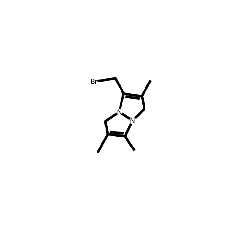 CC1=C(C)N2CC(C)=C(CBr)N2C1